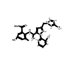 CNC(=O)c1cc(C#N)cc(C)c1NC(O)c1cc(Cn2nnc(C(F)(F)F)n2)nn1-c1ncccc1Cl